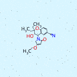 CCOC1=CC(=O)N([C@@H]2c3cc(C#N)ccc3OC(CC)(CC)[C@H]2O)C1